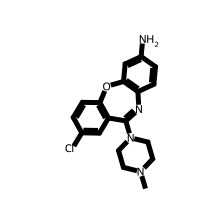 CN1CCN(C2=Nc3ccc(N)cc3Oc3ccc(Cl)cc32)CC1